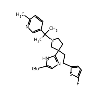 Cc1ccc(C(C)(C)N2CCC(CCc3ccc(F)s3)(c3ncc(C(C)(C)C)[nH]3)C2)cn1